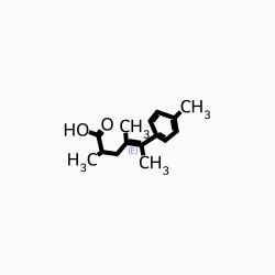 C/C(CC(C)C(=O)O)=C(/C)c1ccc(C)cc1